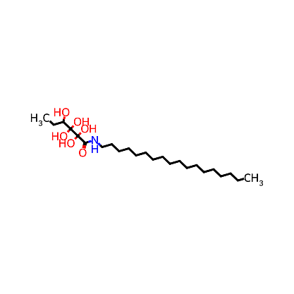 CCCCCCCCCCCCCCCCCCNC(=O)C(O)(O)C(O)(O)C(O)CC